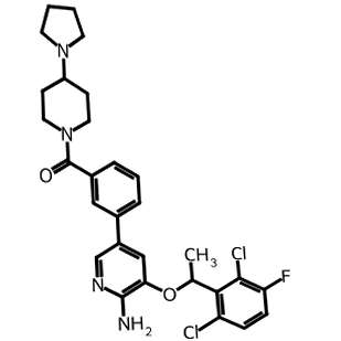 CC(Oc1cc(-c2cccc(C(=O)N3CCC(N4CCCC4)CC3)c2)cnc1N)c1c(Cl)ccc(F)c1Cl